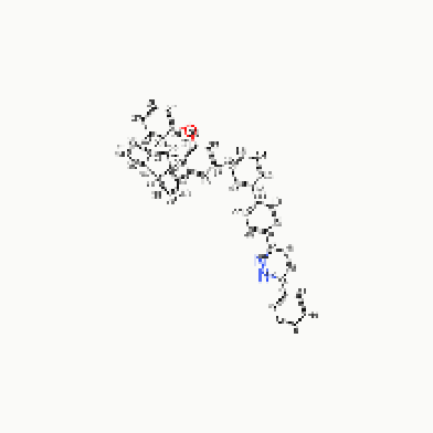 c1ccc(-c2ccc(-c3ccc(-c4cccc(-c5ccc6c(c5)Oc5ccccc5C65c6ccccc6-c6ccccc65)c4)cc3)nn2)cc1